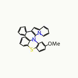 COc1ccc2c(c1)N(c1c(-c3ccccc3)cc3ccccn13)c1ccccc1S2